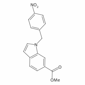 COC(=O)c1ccc2ccn(Cc3ccc([N+](=O)[O-])cc3)c2c1